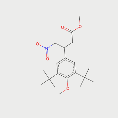 COC(=O)CC(C[N+](=O)[O-])c1cc(C(C)(C)C)c(OC)c(C(C)(C)C)c1